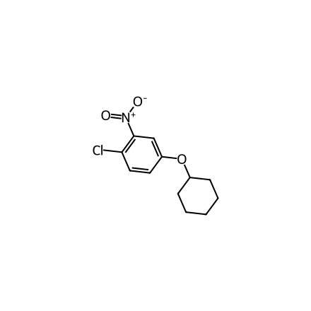 O=[N+]([O-])c1cc(OC2CCCCC2)ccc1Cl